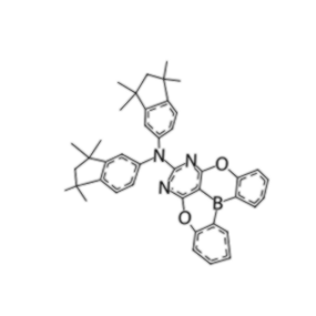 CC1(C)CC(C)(C)c2cc(N(c3ccc4c(c3)C(C)(C)CC4(C)C)c3nc4c5c(n3)Oc3ccccc3B5c3ccccc3O4)ccc21